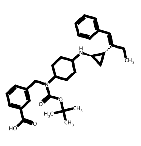 CCC(=Cc1ccccc1)[C@@H]1C[C@H]1NC1CCC(N(Cc2cccc(C(=O)O)c2)C(=O)OC(C)(C)C)CC1